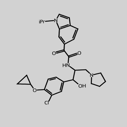 CC(C)n1ccc2ccc(C(=O)C(=O)NC(CN3CCCC3)C(O)c3ccc(OC4CC4)c(Cl)c3)cc21